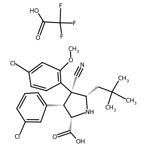 COc1cc(Cl)ccc1[C@@]1(C#N)[C@H](CC(C)(C)C)N[C@H](C(=O)O)[C@@H]1c1cccc(Cl)c1.O=C(O)C(F)(F)F